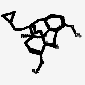 COC1=CC[C@@H]2C3Cc4ccc(OC)c5c4[C@]2(CCN3CC2CC2)[C@@H]1O5